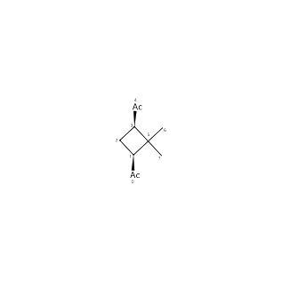 CC(=O)[C@H]1C[C@@H](C(C)=O)C1(C)C